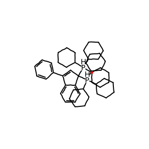 C1=C(c2ccccc2)c2ccccc2C1([PH](C1CCCCC1)(C1CCCCC1)C1CCCCC1)[PH](C1CCCCC1)(C1CCCCC1)C1CCCCC1